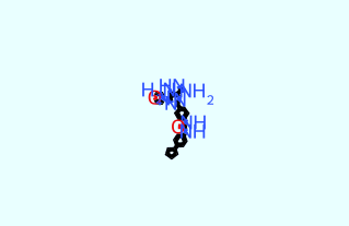 N=C(N)c1nc(-c2ccc(NC(=O)Nc3ccc(C4CCCC4)cc3)cc2)nc(N2CCOCC2)c1N